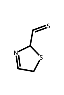 S=CC1N=CCS1